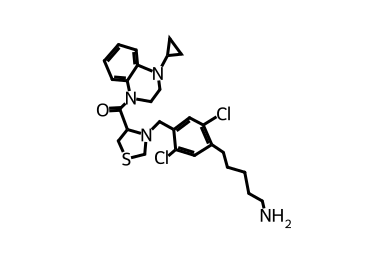 NCCCCCc1cc(Cl)c(CN2CSCC2C(=O)N2CCN(C3CC3)c3ccccc32)cc1Cl